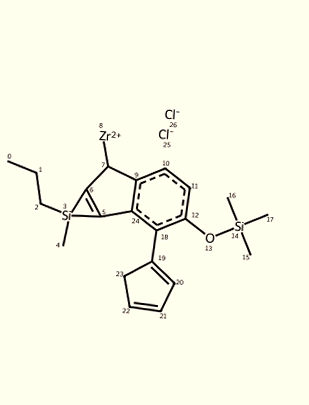 CCC[Si]1(C)C2=C1[CH]([Zr+2])c1ccc(O[Si](C)(C)C)c(C3=CC=CC3)c12.[Cl-].[Cl-]